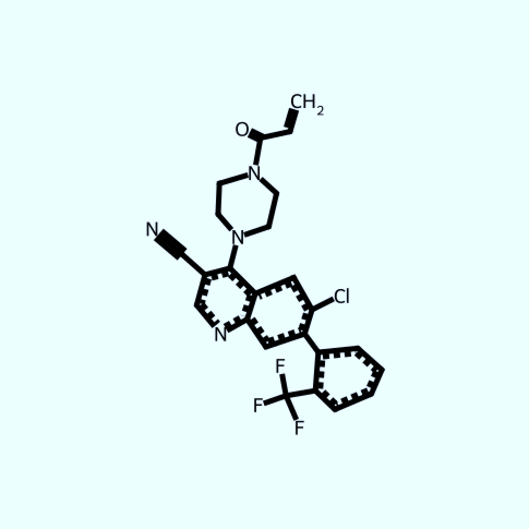 C=CC(=O)N1CCN(c2c(C#N)cnc3cc(-c4ccccc4C(F)(F)F)c(Cl)cc23)CC1